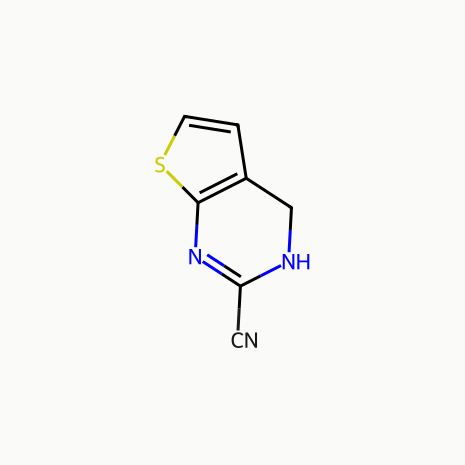 N#CC1=Nc2sccc2CN1